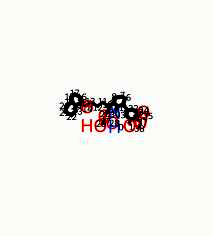 COc1cc(-c2cccc3c(CCCOc4cccc5ccccc45)c(OC(=O)O)[nH]c23)cc(OC)c1OC